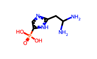 NC(N)Cc1ncc(P(=O)(O)O)[nH]1